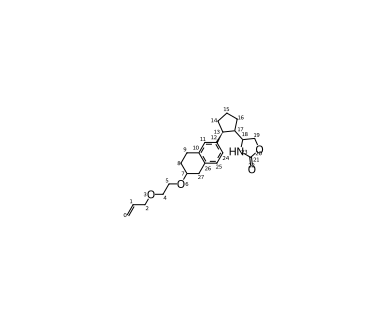 C=CCOCCOC1CCc2cc([C@H]3CCCC3C3COC(=O)N3)ccc2C1